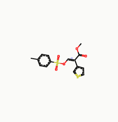 COC(=O)/C(=C/OS(=O)(=O)c1ccc(C)cc1)c1ccsc1